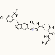 CONC(=O)C1CN(C2=NC(=O)/C(=C\c3ccc4c(cnn4Cc4ccc(Cl)cc4C(F)(F)F)c3)S2)CCN1